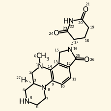 CN1C[C@@H]2CNCCN2c2ccc3c(c21)CN([C@H]1CCC(=O)NC1=O)C3=O